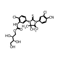 CC1(C)C(=O)N(c2ccc(C#N)c(Cl)c2)C(=S)N1c1ccc(Cl)c(NC(=O)OC[C@H](O)[C@@H](O)CO)c1